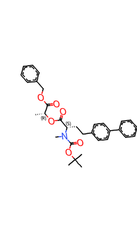 C[C@@H](OC(=O)[C@H](CCc1ccc(-c2ccccc2)cc1)N(C)C(=O)OC(C)(C)C)C(=O)OCc1ccccc1